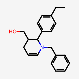 CCc1ccc(C2C(CO)CC=CN2Cc2ccccc2)cc1